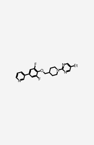 CCc1cnc(N2CCC(COc3c(F)cc(-c4cccnc4)cc3F)CC2)nc1